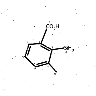 Cc1cccc(C(=O)O)c1[SiH3]